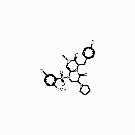 COc1ccc(Cl)cc1S(=O)(=O)N1CC(N2CCCC2)C(=O)N2C1=CN(C(C)C)C(=O)C2Cc1ccc(Cl)cc1